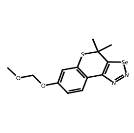 COCOc1ccc2c(c1)SC(C)(C)c1[se]nnc1-2